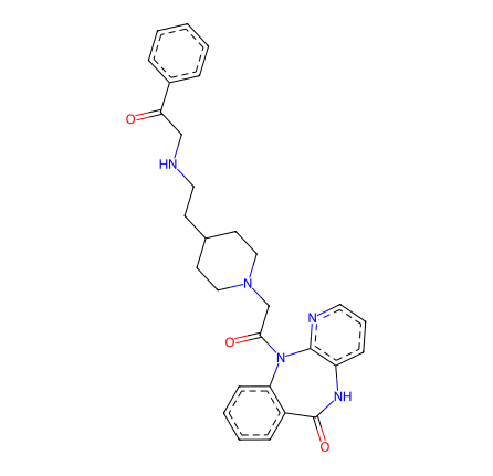 O=C(CNCCC1CCN(CC(=O)N2c3ccccc3C(=O)Nc3cccnc32)CC1)c1ccccc1